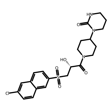 O=C([C@@H](O)CS(=O)(=O)c1ccc2cc(Cl)ccc2c1)N1CCC(N2CCCNC2=O)CC1